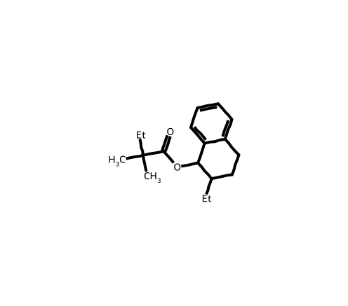 CCC1CCc2ccccc2C1OC(=O)C(C)(C)CC